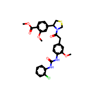 COC(=O)c1ccc(C2CSCN2C(=O)Cc2ccc(NC(=O)Nc3ccccc3Cl)c(OC)c2)cc1OC